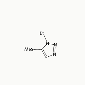 [CH2]Sc1cnnn1CC